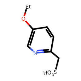 CCOc1ccc(CS(=O)(=O)O)nc1